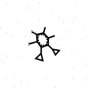 Cc1c(C)c(C2CC2)c(C2CC2)c(I)c1I